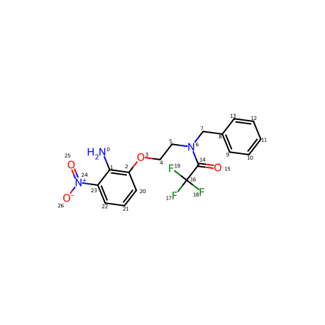 Nc1c(OCCN(Cc2ccccc2)C(=O)C(F)(F)F)cccc1[N+](=O)[O-]